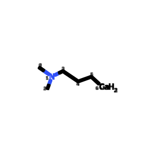 CN(C)CC[CH2][GaH2]